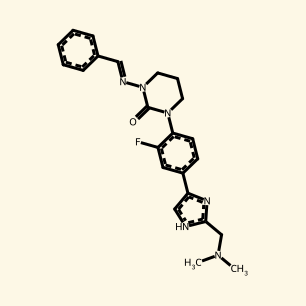 CN(C)Cc1nc(-c2ccc(N3CCCN(N=Cc4ccccc4)C3=O)c(F)c2)c[nH]1